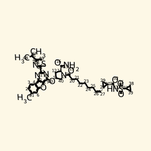 Cc1ccc2c(c1)oc1c(O[C@@H]3C[C@@H](C(N)=O)N(C(=O)CCCCCC/C=C\[C@@H]4C[C@@H]4C(=O)NS(=O)(=O)C4CC4)C3)nc(-c3nc(C(C)C)cs3)nc12